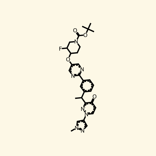 CC(c1cccc(-c2ncc(OC3CCN(C(=O)OC(C)(C)C)CC3F)cn2)c1)c1nn(-c2cnn(C)c2)ccc1=O